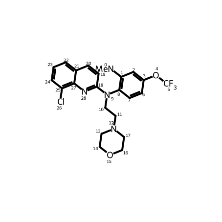 CNc1cc(OC(F)(F)F)ccc1N(CCN1CCOCC1)c1ccc2cccc(Cl)c2n1